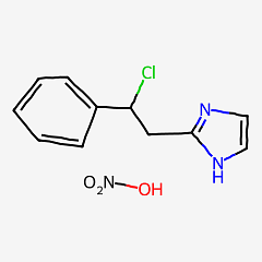 ClC(Cc1ncc[nH]1)c1ccccc1.O=[N+]([O-])O